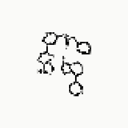 O=C(Cc1ccccc1)Nc1cncc(-c2ccc3[nH]nc(-c4cc5c(-c6cccnc6)cccc5[nH]4)c3n2)c1